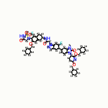 Cn1c(=O)n(-c2ccc(OCc3ccccc3)nc2OCc2ccccc2)c2ccc(-c3cc4cnn(CC(=O)Nc5ccc6c(F)c(N7CC(=O)NS7(=O)=O)c(OCc7ccccc7)cc6c5)c4cc3F)cc21